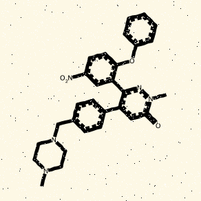 CN1CCN(Cc2ccc(-c3cc(=O)n(C)nc3-c3cc([N+](=O)[O-])ccc3Oc3ccccc3)cc2)CC1